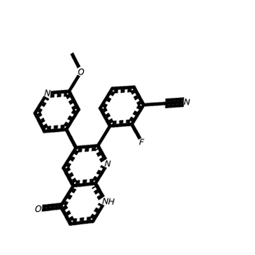 COc1cc(-c2cc3c(=O)cc[nH]c3nc2-c2cccc(C#N)c2F)ccn1